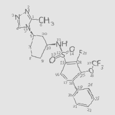 Cc1nncn1[C@@H]1CCC[C@H](NS(=O)(=O)c2ccc(-c3ccccc3)c(OC(F)(F)F)c2F)C1